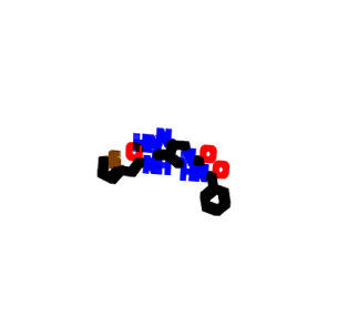 O=C(Cc1cccs1)Nc1[nH]nc2c1CN(C(=O)NC(=O)c1ccccc1)C2